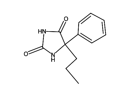 CCCC1(c2ccccc2)NC(=O)NC1=O